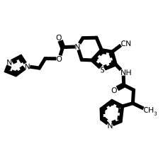 CC(CC(=O)Nc1sc2c(c1C#N)CCN(C(=O)OCCn1ccnc1)C2)c1cccnc1